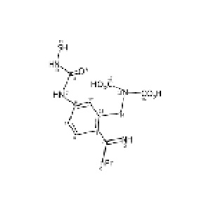 CCCC(=N)c1ccc(NC(=O)NS)cc1CN(C(=O)O)C(=O)O